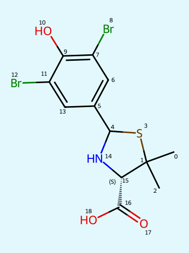 CC1(C)SC(c2cc(Br)c(O)c(Br)c2)N[C@H]1C(=O)O